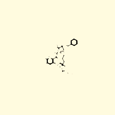 CC(C)(CCCOCC(OCc1ccccc1)(C(=O)NNC(=O)c1nc(O)c(C(F)(F)F)cc1[N+](=O)[O-])C(F)(F)F)NC(=O)OC(C)(C)C